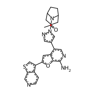 CC(=O)N1C2CCC1CC(n1cc(-c3cnc(N)c4oc(-c5csc6cnccc56)cc34)cn1)C2